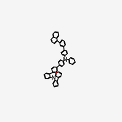 c1ccc(N(c2ccc(-c3ccc(-c4ccccc4-n4c5ccccc5c5ccccc54)cc3)cc2)c2ccc(-c3cccc(-c4cccc5ccccc45)c3)cc2)cc1